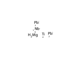 [MgH2].[Nb].[Pb].[Pb].[Ti]